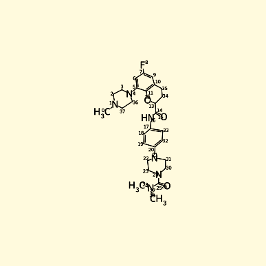 CN1CCN(c2cc(F)cc3c2OC(C(=O)Nc2ccc(N4CCN(C(=O)N(C)C)CC4)cc2)CC3)CC1